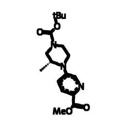 COC(=O)c1ccc(N2CCN(C(=O)OC(C)(C)C)C[C@H]2C)cn1